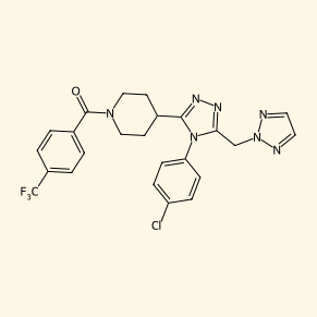 O=C(c1ccc(C(F)(F)F)cc1)N1CCC(c2nnc(Cn3nccn3)n2-c2ccc(Cl)cc2)CC1